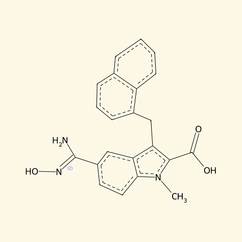 Cn1c(C(=O)O)c(Cc2cccc3ccccc23)c2cc(/C(N)=N/O)ccc21